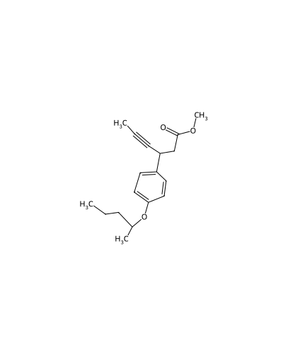 CC#CC(CC(=O)OC)c1ccc(OC(C)CCC)cc1